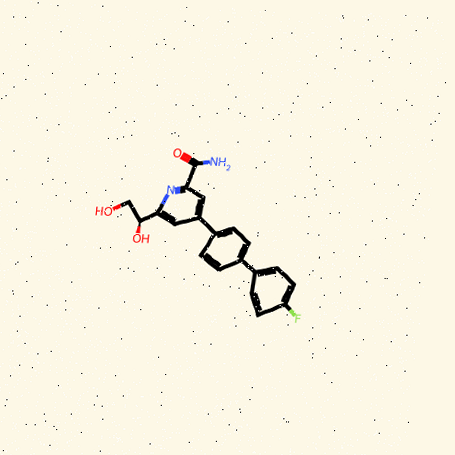 NC(=O)c1cc(-c2ccc(-c3ccc(F)cc3)cc2)cc([C@@H](O)CO)n1